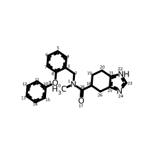 CN(Cc1ccccc1Oc1ccccc1)C(=O)C1CCc2[nH]cnc2C1